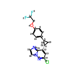 FC(F)COc1ccc([C@H]2C[C@@H]2c2cc(Cl)nn3ccnc23)cc1